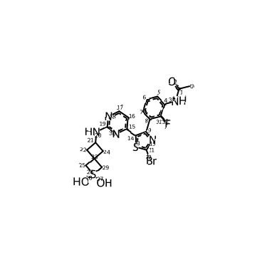 CC(=O)Nc1cccc(-c2nc(Br)sc2-c2ccnc(NC3CC4(C3)CS(O)(O)C4)n2)c1F